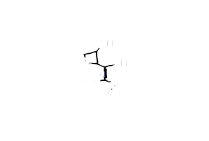 CN/C(C)=C(\C)C1NCC1C